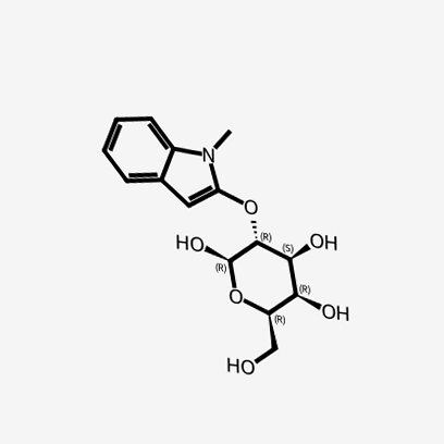 Cn1c(O[C@@H]2[C@@H](O)[C@@H](O)[C@@H](CO)O[C@H]2O)cc2ccccc21